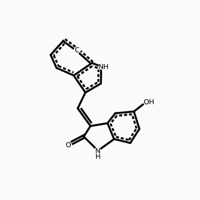 O=C1Nc2ccc(O)cc2/C1=C\c1c[nH]c2ccccc12